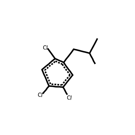 CC(C)Cc1cc(Cl)c(Cl)cc1Cl